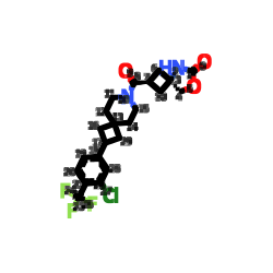 O=C1N[C@]2(CO1)C[C@H](C(=O)N1CCC3(CC1)CC(c1ccc(C(F)(F)F)c(Cl)c1)C3)C2